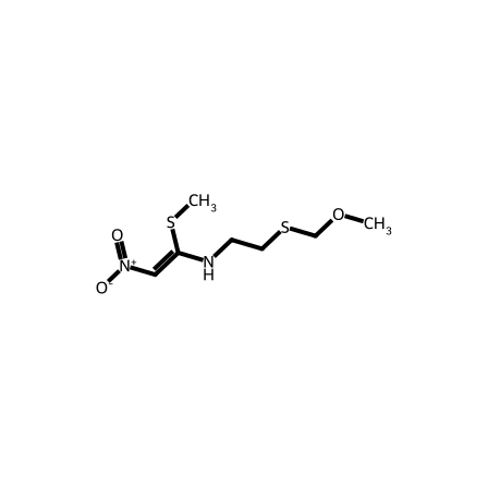 COCSCCN/C(=C/[N+](=O)[O-])SC